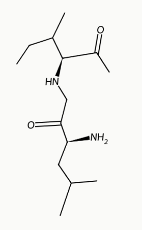 CCC(C)[C@H](NCC(=O)[C@@H](N)CC(C)C)C(C)=O